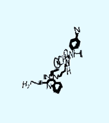 COCCc1nc2c(N)nc3ccccc3c2n1CCCCNC(=O)Nc1ccc(C#N)cc1